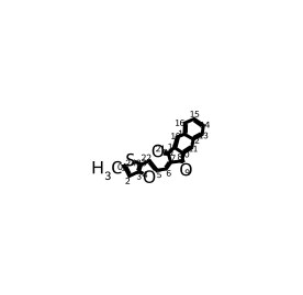 Cc1cc2oc(C=C3C(=O)c4cc5ccccc5cc4C3=O)cc2s1